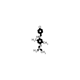 CCN(C)C=Nc1cc(C)c(NCc2ccc(Cl)cc2)cc1C